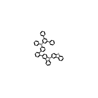 c1ccc(-c2cc(-c3ccccc3)cc(N(c3ccccc3)c3cccc(-c4ccccc4-c4ccc5c(c4)c4ccccc4n5-c4ccc5sc6ccccc6c5c4)c3)c2)cc1